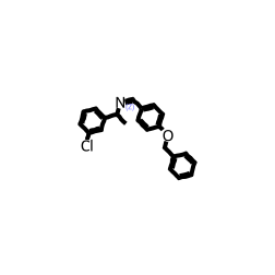 CC(/N=C\c1ccc(OCc2ccccc2)cc1)c1cccc(Cl)c1